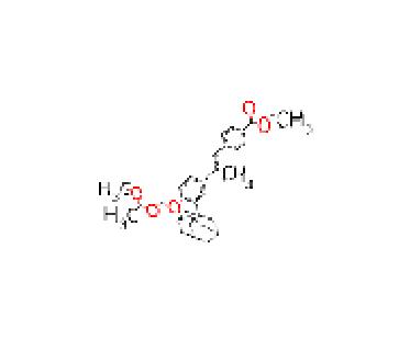 CCOC(=O)c1ccc(C=C(C)c2ccc(OCOC(C)OC)c(C34CC5CC(CC(C5)C3)C4)c2)cc1